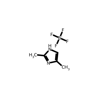 Cc1c[nH]c(C)n1.F[B-](F)(F)F